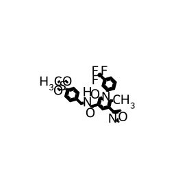 Cc1c(-c2cocn2)cc(C(=O)NCc2ccc(S(C)(=O)=O)cc2)c(=O)n1-c1cccc(C(F)(F)F)c1